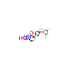 O=C1N[C@H](CO)CCS[C@@H]1c1ccc(Oc2cc(F)cc(F)c2)cc1